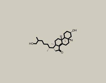 CC(CO)CCC[C@@H](C)[C@H]1CC(=O)C2=C3CC[C@H]4C[C@@H](O)CC[C@]4(C)[C@H]3CC[C@@]21C